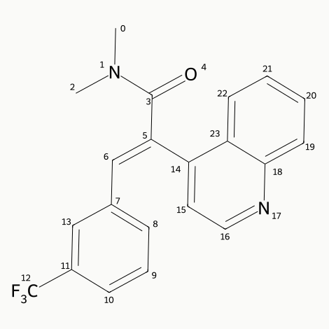 CN(C)C(=O)C(=Cc1cccc(C(F)(F)F)c1)c1ccnc2ccccc12